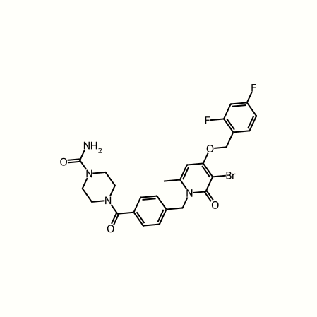 Cc1cc(OCc2ccc(F)cc2F)c(Br)c(=O)n1Cc1ccc(C(=O)N2CCN(C(N)=O)CC2)cc1